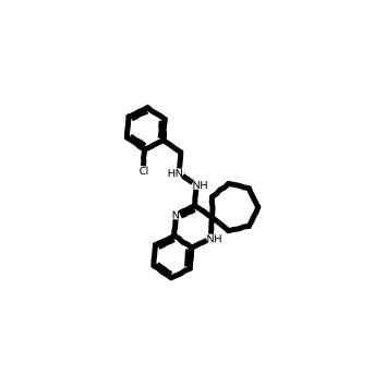 Clc1ccccc1CNNC1=Nc2ccccc2NC12CCCCCC2